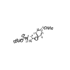 COCc1ccc(OC2CCN(C(=O)OC(C)(C)C)CC2)cc1